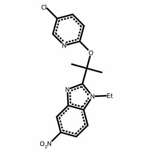 CCn1c(C(C)(C)Oc2ccc(Cl)cn2)nc2cc([N+](=O)[O-])ccc21